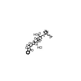 CN(C)CCn1nnnc1SCC1=C(C(=O)O)N2C(=O)[C@@H](NC(=O)CCCC(C(=O)O)N3C(=O)c4ccccc4C3=O)[C@@H]2SC1.Cl